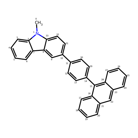 Cn1c2ccccc2c2cc(-c3ccc(-c4c5ccccc5cc5ccccc45)cc3)ccc21